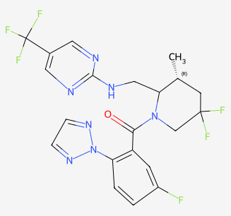 C[C@@H]1CC(F)(F)CN(C(=O)c2cc(F)ccc2-n2nccn2)C1CNc1ncc(C(F)(F)F)cn1